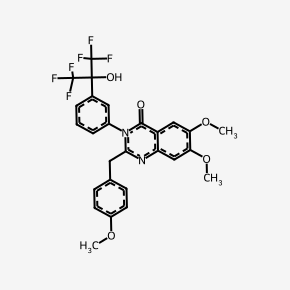 COc1ccc(Cc2nc3cc(OC)c(OC)cc3c(=O)n2-c2cccc(C(O)(C(F)(F)F)C(F)(F)F)c2)cc1